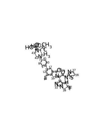 CC(C)(C)C1CN(c2ccc(-c3cc(F)c4c(c3)C(=O)N(C(C(=O)Nc3nccs3)c3ncn5c3C[C@@H](F)C5)C4)cc2)CCN1C(=O)O